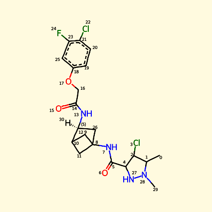 CC1C(Cl)C(C(=O)NC23CC(C2)[C@@H](NC(=O)COc2ccc(Cl)c(F)c2)C3)NN1C